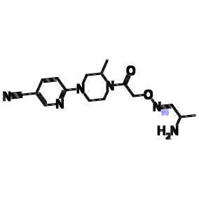 CC(N)/C=N/OCC(=O)N1CCN(c2ccc(C#N)cn2)CC1C